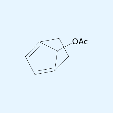 CC(=O)OC1C2=CC=C1CC2